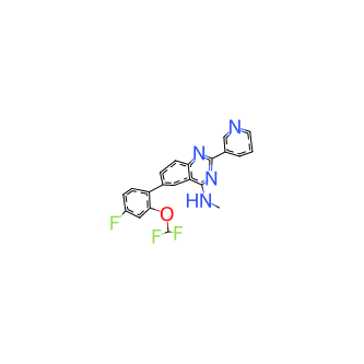 CNc1nc(-c2cccnc2)nc2ccc(-c3ccc(F)cc3OC(F)F)cc12